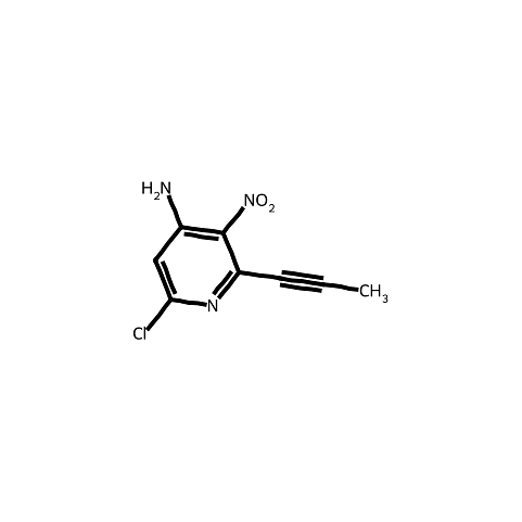 CC#Cc1nc(Cl)cc(N)c1[N+](=O)[O-]